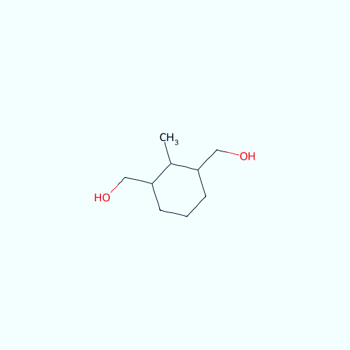 CC1C(CO)CCCC1CO